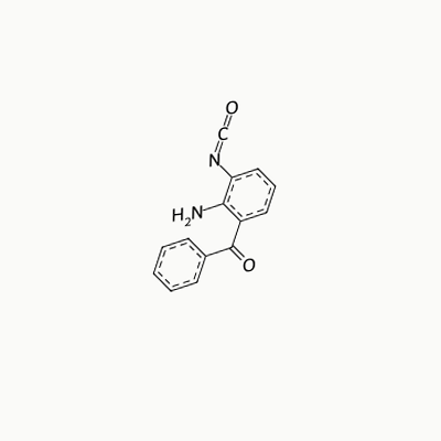 Nc1c(N=C=O)cccc1C(=O)c1ccccc1